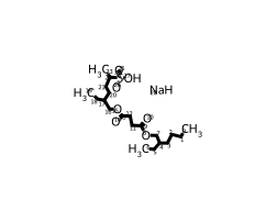 CCCCC(CC)COC(=O)CCC(=O)OCC(CC)CCC(C)S(=O)(=O)O.[NaH]